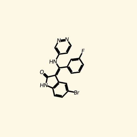 O=C1Nc2ccc(Br)cc2/C1=C(/Nc1ccnnc1)c1cccc(F)c1